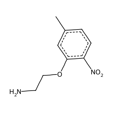 Cc1ccc([N+](=O)[O-])c(OCCN)c1